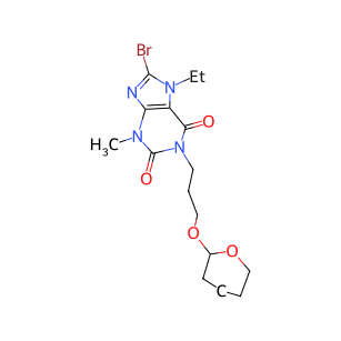 CCn1c(Br)nc2c1c(=O)n(CCCOC1CCCCO1)c(=O)n2C